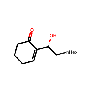 CCCCCCC[C@@H](O)C1=CCCCC1=O